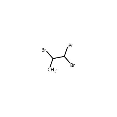 [CH2]C(Br)C(Br)C(C)C